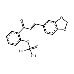 O=C(/C=C/c1ccc2c(c1)OCO2)c1ccccc1OP(=O)(O)O